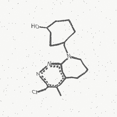 Cc1c(Cl)nnc2c1CCCN2C1CCCC(O)C1